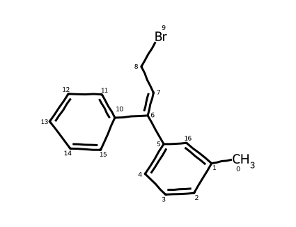 Cc1cccc(C(=CCBr)c2ccccc2)c1